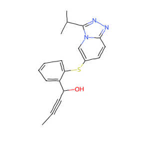 CC#CC(O)c1ccccc1Sc1ccc2nnc(C(C)C)n2c1